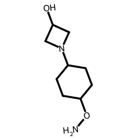 NOC1CCC(N2CC(O)C2)CC1